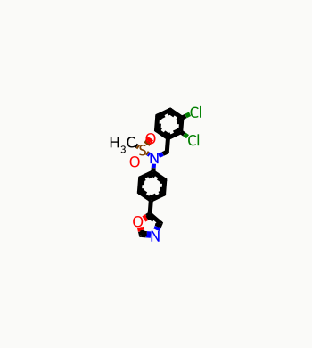 CS(=O)(=O)N(Cc1cccc(Cl)c1Cl)c1ccc(-c2cnco2)cc1